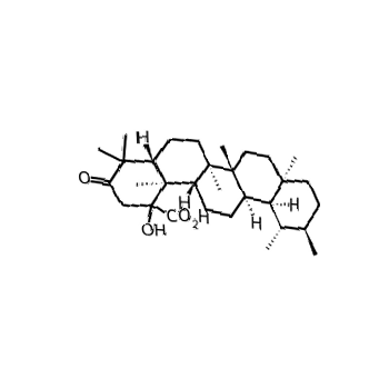 C[C@@H]1[C@H]2[C@H]3CC[C@@H]4[C@]5(C)[C@@H](CC[C@@]4(C)[C@]3(C)CC[C@@]2(C)CC[C@H]1C)C(C)(C)C(=O)CC5(O)C(=O)O